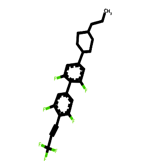 CCCC1CCC(c2cc(F)c(-c3cc(F)c(C#CC(F)(F)F)c(F)c3)c(F)c2)CC1